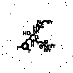 CCCN(CCC)S(=O)(=O)CCC(=O)N[C@@H](Cc1cc(F)cc(F)c1)[C@@H](O)CNCc1cnc(CC(C)C)s1